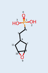 O=P(O)(O)CCC1CC2OC2C1